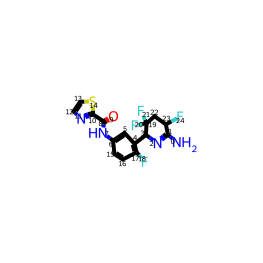 NC1=NC(c2cc(NC(=O)c3nccs3)ccc2F)C(F)(F)CC1F